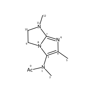 CC(=O)N(C)c1c(C)nc2n1CCN2C